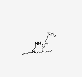 C=CCCCN(CCCN)CCCC(CCCC)CCCC(=C)CCCN